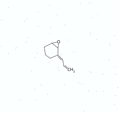 C=CC=C1CCCC2OC12